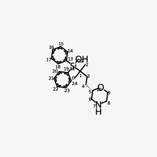 CC(C)(CC[C@H]1CNCCO1)[Si](O)(c1ccccc1)c1ccccc1